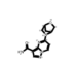 NC(=O)c1cnn2ccc(N3CC4CC3CO4)nc12